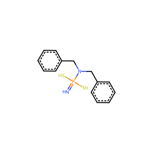 N=P(S)(S)N(Cc1ccccc1)Cc1ccccc1